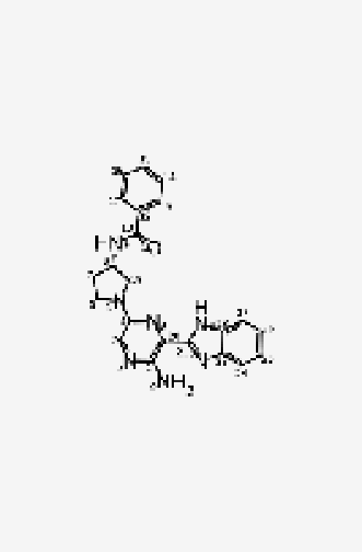 Nc1ncc(N2CC[C@H](NC(=O)c3ccccc3)C2)nc1-c1nc2ccccc2[nH]1